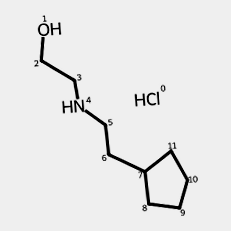 Cl.OCCNCCC1CCCC1